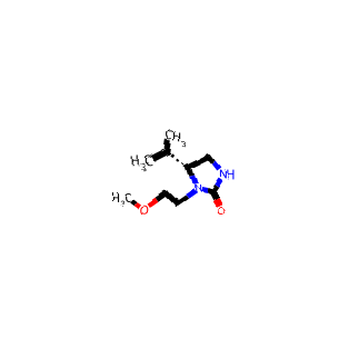 COCCN1C(=O)NC[C@H]1C(C)C